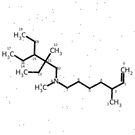 C=CC(C)CCCCN(C)CC(C)(CC)C(CC)CC